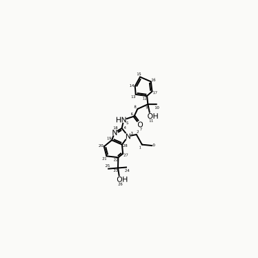 CCCn1c(NC(=O)CC(C)(O)c2ccccc2)nc2ccc(C(C)(C)O)cc21